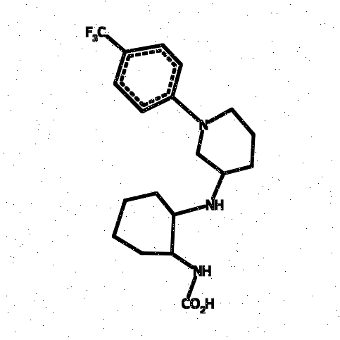 O=C(O)NC1CCCCC1NC1CCCN(c2ccc(C(F)(F)F)cc2)C1